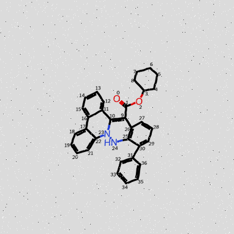 O=C(OC1CCCCC1)C1=C2c3ccccc3-c3ccccc3N2Nc2c1cccc2-c1ccccc1